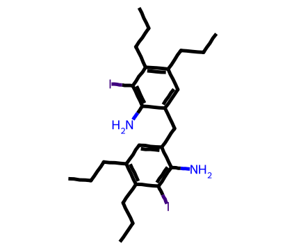 CCCc1cc(Cc2cc(CCC)c(CCC)c(I)c2N)c(N)c(I)c1CCC